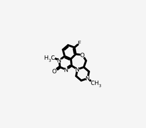 CN1CCN2c3nc(=O)n(C)c4ccc(F)c(c34)OCC2C1